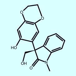 CN1C(=O)[C@](CO)(c2cc3c(cc2O)OCCO3)c2ccccc21